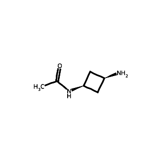 CC(=O)N[C@H]1C[C@@H](N)C1